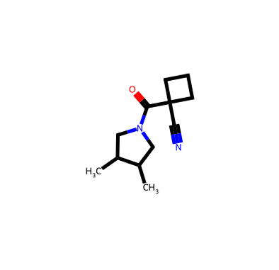 CC1CN(C(=O)C2(C#N)CCC2)CC1C